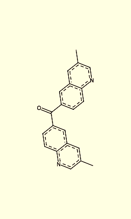 Cc1cnc2ccc(C(=O)c3ccc4ncc(C)cc4c3)cc2c1